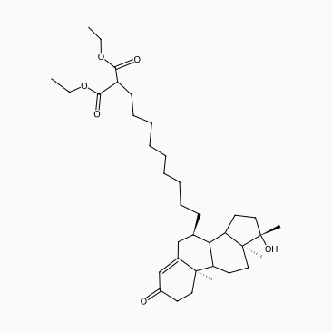 CCOC(=O)C(CCCCCCCCC[C@@H]1CC2=CC(=O)CC[C@]2(C)C2CC[C@@]3(C)C(CC[C@]3(C)O)C21)C(=O)OCC